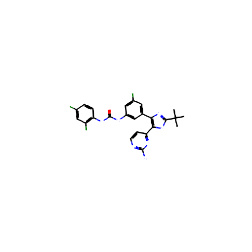 CC(C)(C)c1nc(-c2cc(F)cc(NC(=O)Nc3ccc(F)cc3F)c2)c(-c2ccnc(N)n2)[nH]1